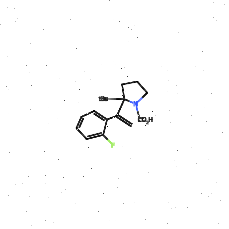 C=C(c1ccccc1F)C1(C(C)(C)C)CCCN1C(=O)O